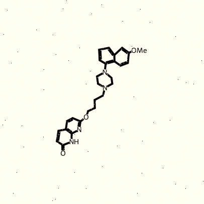 COc1ccc2c(N3CCN(CCCCOc4ccc5ccc(=O)[nH]c5n4)CC3)cccc2c1